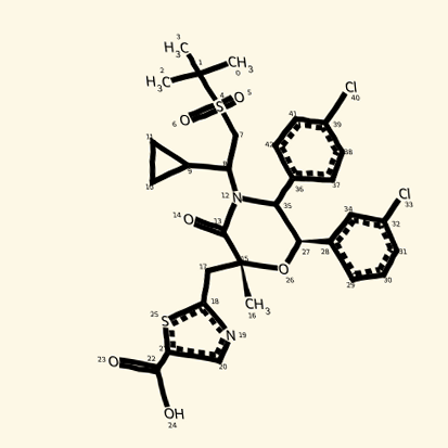 CC(C)(C)S(=O)(=O)CC(C1CC1)N1C(=O)[C@@](C)(Cc2ncc(C(=O)O)s2)O[C@H](c2cccc(Cl)c2)C1c1ccc(Cl)cc1